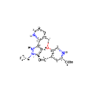 COc1cc(C=O)c(OCc2cccnc2-c2ccn(CC(F)(F)F)n2)cn1